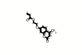 C=CC(=O)OCCOc1ccc2c(C(F)(F)F)cc(=O)oc2c1